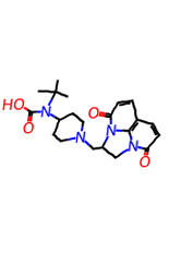 CC(C)(C)N(C(=O)O)C1CCN(CC2Cn3c(=O)ccc4ccc(=O)n2c43)CC1